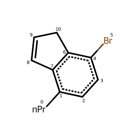 CCCc1ccc(Br)c2c1C=CC2